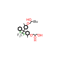 Cc1cc(C(c2ccccc2)(c2ccc(OCC(O)C(C)(C)C)c(C)c2)C(F)(F)C(F)(F)F)ccc1OCC(O)CO